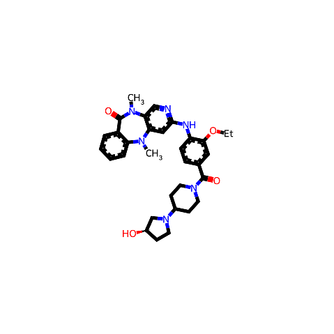 CCOc1cc(C(=O)N2CCC(N3CC[C@@H](O)C3)CC2)ccc1Nc1cc2c(cn1)N(C)C(=O)c1ccccc1N2C